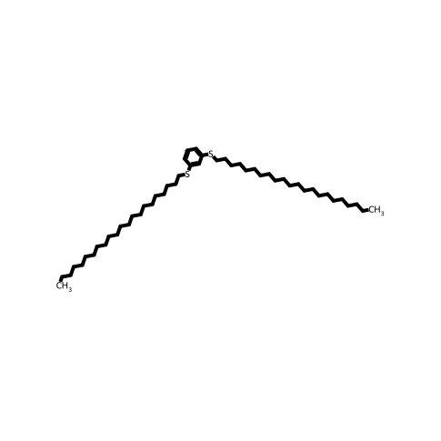 CCCCCCCCCCCCCCCCCCCCCCSc1c[c]cc(SCCCCCCCCCCCCCCCCCCCCCC)c1